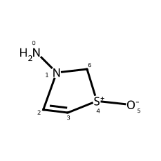 NN1C=C[S+]([O-])C1